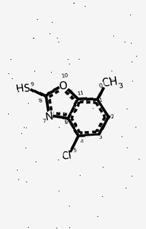 Cc1ccc(Cl)c2nc(S)oc12